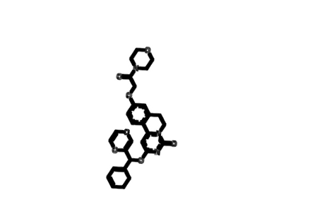 O=C(COc1ccc2c(c1)CCn1c-2cc(OC(C2=CC=CCC2)C2=COC=CO2)nc1=O)N1CCOCC1